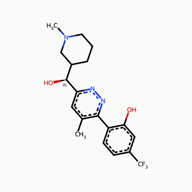 Cc1cc([C@@H](O)C2CCCN(C)C2)nnc1-c1ccc(C(F)(F)F)cc1O